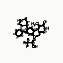 CC1C(=O)NN=C2COc3cc(-c4ccccc4)c(C4CCNCC4)cc3N21.O=C(O)C(F)(F)F